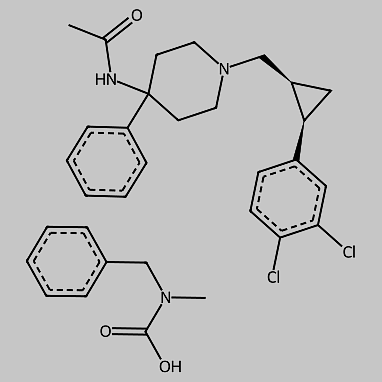 CC(=O)NC1(c2ccccc2)CCN(C[C@H]2C[C@H]2c2ccc(Cl)c(Cl)c2)CC1.CN(Cc1ccccc1)C(=O)O